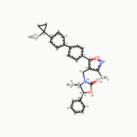 Cc1noc(-c2ccc(-c3ccc(C4(C(=O)O)CC4)cc3)cc2)c1CN1C(=O)O[C@@H](c2ccccc2)[C@H]1C